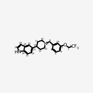 FC(F)(F)COc1cccc(CN2CCC(c3ccc4[nH]ccc4c3)CC2)c1